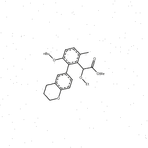 CCCCOc1ccc(C)c(C(OCC)C(=O)OC)c1-c1ccc2c(c1)CCCO2